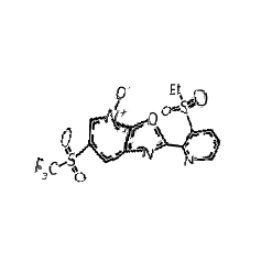 CCS(=O)(=O)c1cccnc1-c1nc2cc(S(=O)(=O)C(F)(F)F)c[n+]([O-])c2o1